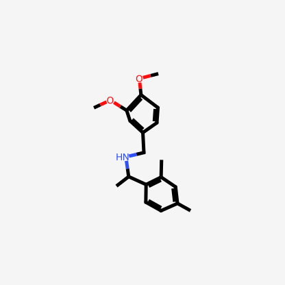 COc1ccc(CNC(C)c2ccc(C)cc2C)cc1OC